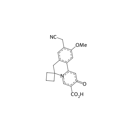 COc1cc2c(cc1CC#N)CC1(CCC1)n1cc(C(=O)O)c(=O)cc1-2